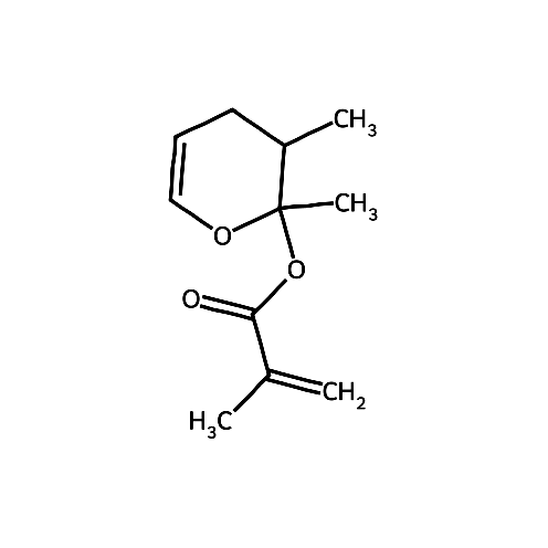 C=C(C)C(=O)OC1(C)OC=CCC1C